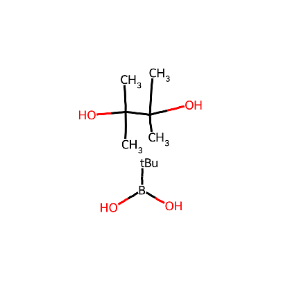 CC(C)(C)B(O)O.CC(C)(O)C(C)(C)O